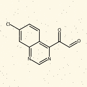 O=CC(=O)c1ncnc2cc(Cl)ccc12